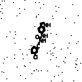 O=C(NCCc1cccc(Cl)c1)Nc1ccc2cc[nH]c2c1